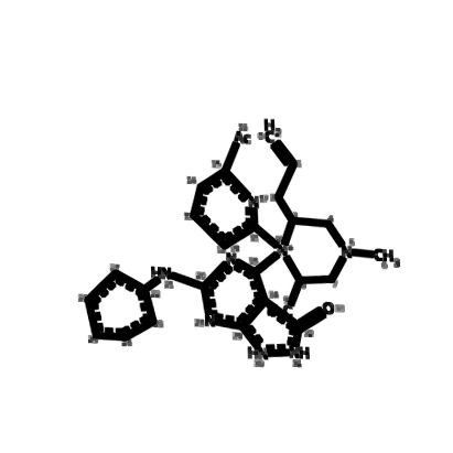 C=CCC1CN(C)CC(C)[N+]1(c1cccc(C(C)=O)n1)c1nc(Nc2ccccc2)nc2[nH][nH]c(=O)c12